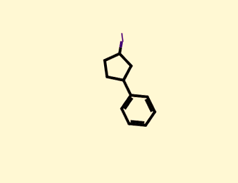 IC1CCC(c2ccccc2)C1